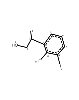 [CH2]C(CO)c1cccc(I)c1F